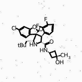 CC(C)(C)C[C@H]1N[C@@H](C(=O)N[C@H]2C[C@@](C)(O)C2)[C@H](c2cccc(F)c2F)[C@@]12C(=O)Oc1cc(Cl)ccc12